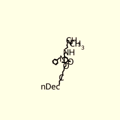 CCCCCCCCCCCCCCCCCCOc1cn(Cc2ccccc2)c(CNCCCN(C)C)cc1=O